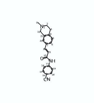 CN1CCc2ccc(/C=C/C(=O)Nc3ccc(C#N)cc3)cc2C1